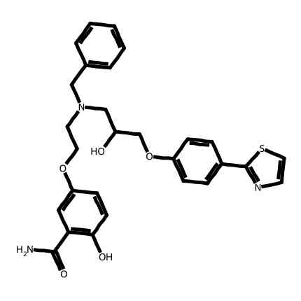 NC(=O)c1cc(OCCN(Cc2ccccc2)CC(O)COc2ccc(-c3nccs3)cc2)ccc1O